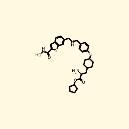 N[C@@H](CC1CCC(Oc2ccc(CNCc3ccc4cc(C(=O)NO)sc4c3)cc2)CC1)C(=O)OC1CCCC1